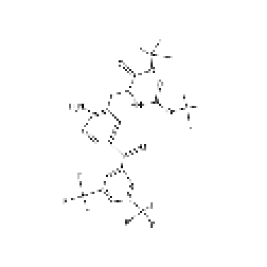 CC(C)(C)OC(=O)NC(Cc1cc(C(=O)c2cc(C(F)(F)F)cc(C(F)(F)F)c2)ccc1N)C(=O)OC(C)(C)C